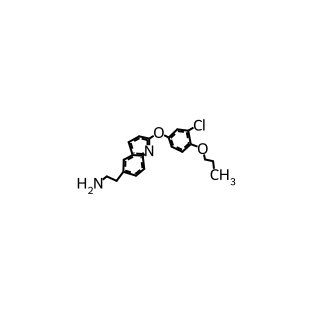 CCCOc1ccc(Oc2ccc3cc(CCN)ccc3n2)cc1Cl